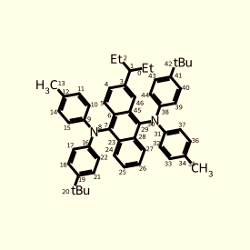 CCC(CC)c1ccc2c(N(c3ccc(C)cc3)c3ccc(C(C)(C)C)cc3)c3ccccc3c(N(c3ccc(C)cc3)c3ccc(C(C)(C)C)cc3)c2c1